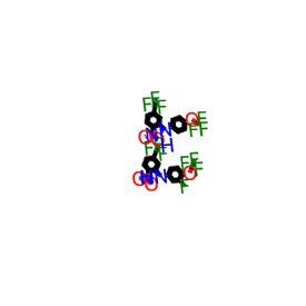 O=[N+]([O-])c1ccc(C(F)(F)F)cc1Nc1ccc(OC(F)(F)F)c(F)c1.O=[N+]([O-])c1ccc(C(F)(F)F)cc1Nc1ccc(OC(F)(F)F)cc1